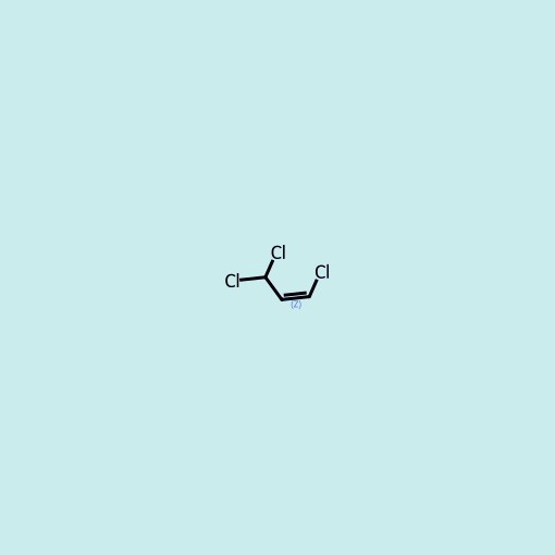 Cl/C=C\C(Cl)Cl